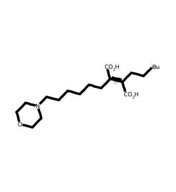 CCC(C)CC/C(C(=O)O)=C(/CCCCCCN1CCOCC1)C(=O)O